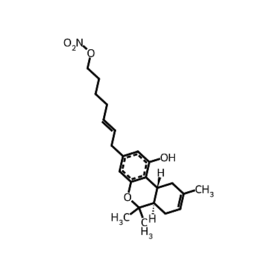 CC1=CC[C@@H]2[C@@H](C1)c1c(O)cc(CC=CCCCCO[N+](=O)[O-])cc1OC2(C)C